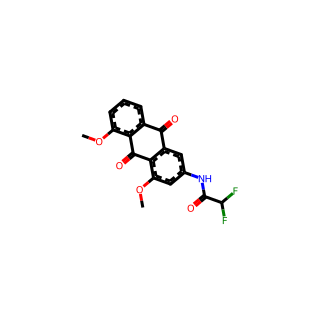 COc1cccc2c1C(=O)c1c(OC)cc(NC(=O)C(F)F)cc1C2=O